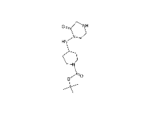 CC(C)(C)OC(=O)N1CCC(NN2CCNCC2=O)CC1